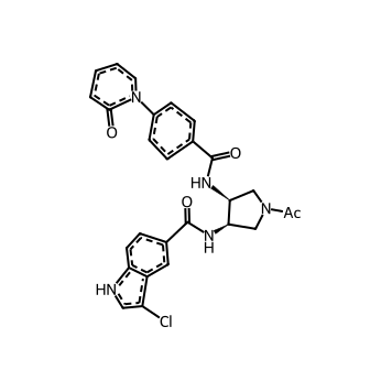 CC(=O)N1C[C@H](NC(=O)c2ccc(-n3ccccc3=O)cc2)[C@H](NC(=O)c2ccc3[nH]cc(Cl)c3c2)C1